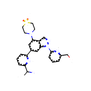 CCCC(N)c1cccc(-c2cc(N3CCS(=O)(=O)CC3)c3cnn(-c4cccc(CO)n4)c3c2)n1